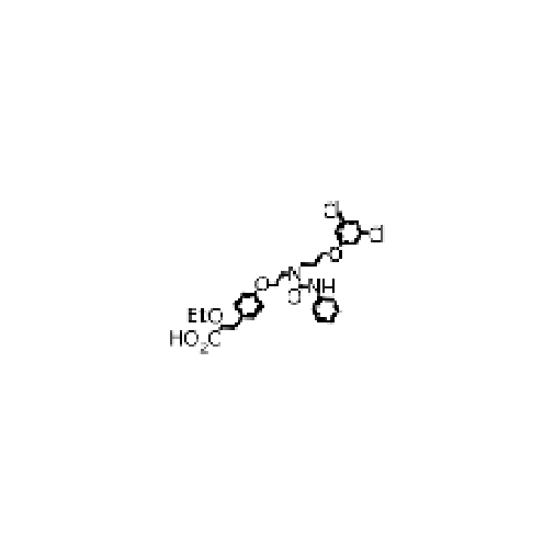 CCOC(Cc1ccc(OCCN(CCCOc2cc(Cl)cc(Cl)c2)C(=O)Nc2ccccc2)cc1)C(=O)O